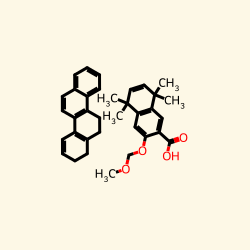 C1=CC2=C(CC1)CCc1c2ccc2ccccc12.COCOc1cc2c(cc1C(=O)O)C(C)(C)C=CC2(C)C